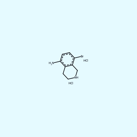 Cl.Cl.Nc1ccc(Br)c2c1CCNC2